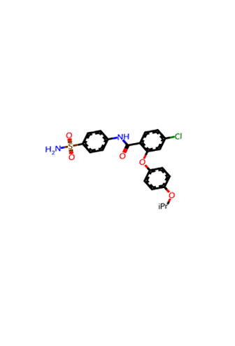 CC(C)Oc1ccc(Oc2cc(Cl)ccc2C(=O)Nc2ccc(S(N)(=O)=O)cc2)cc1